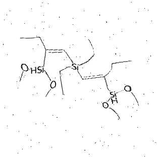 CCC(=C[Si](C=C(CC)[SiH](OC)OC)(CC)CC)[SiH](OC)OC